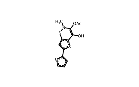 CC(=O)OC1=C(O)c2sc(-c3ccco3)cc2SN1C